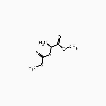 COC(=O)C(C)SC(=S)SC